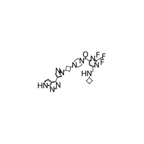 O=C(c1cc(CNC2CCC2)nc(C(F)(F)F)n1)N1CCN(C2CC(n3cc(-c4ncnc5[nH]ccc45)cn3)C2)CC1